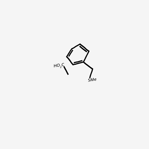 CC(=O)O.CSCc1ccccc1